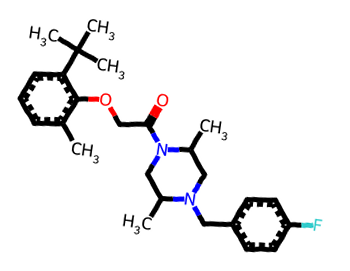 Cc1cccc(C(C)(C)C)c1OCC(=O)N1CC(C)N(Cc2ccc(F)cc2)CC1C